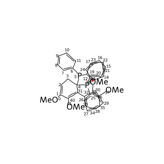 COC1=CCC(P(c2ccccc2)c2ccccc2)(P(c2ccccc2)c2ccccc2)C(c2cccc(OC)c2OC)=C1OC